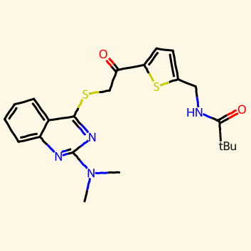 CN(C)c1nc(SCC(=O)c2ccc(CNC(=O)C(C)(C)C)s2)c2ccccc2n1